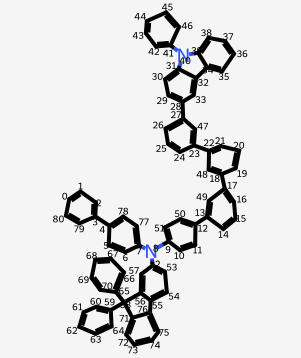 c1ccc(-c2ccc(N(c3ccc(-c4cccc(-c5cccc(-c6cccc(-c7ccc8c(c7)c7ccccc7n8-c7ccccc7)c6)c5)c4)cc3)c3ccc4c(c3)C(c3ccccc3)(c3ccccc3)c3ccccc3-4)cc2)cc1